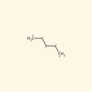 [CH2]C[CH]CC